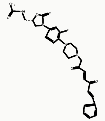 CC(=O)NC[C@H]1CN(c2ccc(N3CCN(CC(=O)/C=C/C(=O)/C=C/c4ccccc4)CC3)c(F)c2)C(=O)O1